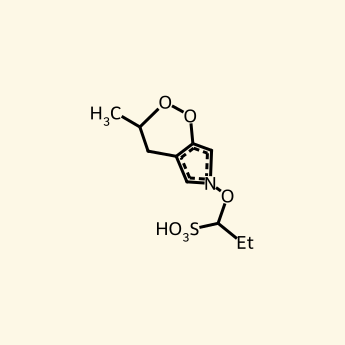 CCC(On1cc2c(c1)OOC(C)C2)S(=O)(=O)O